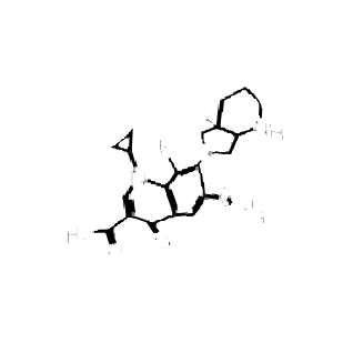 COc1cc2c(=O)c(C(=O)O)cn(C3CC3)c2c(F)c1N1CC2NCCC[C@H]2C1